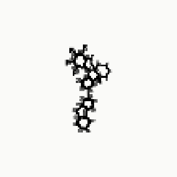 CC12CCCCC1(C)N(c1c(F)c(F)c(F)c(F)c1F)c1ccc(-c3ccc4c(c3)Cc3ccccc3-4)cc12